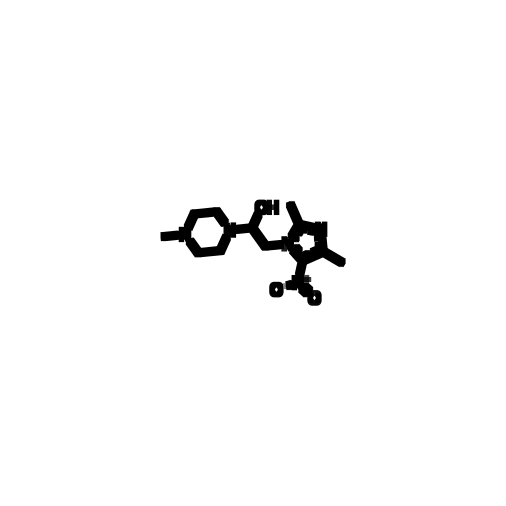 Cc1nc(C)n(CC(O)N2CCN(C)CC2)c1[N+](=O)[O-]